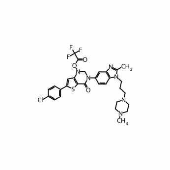 Cc1nc2cc(N3CN(OC(=O)C(F)(F)F)c4cc(-c5ccc(Cl)cc5)sc4C3=O)ccc2n1CCCN1CCN(C)CC1